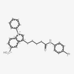 CC(C)c1ccc(NC(=O)CCCCc2cn(-c3ccccc3)c3ccc(C(=O)O)cc23)cc1